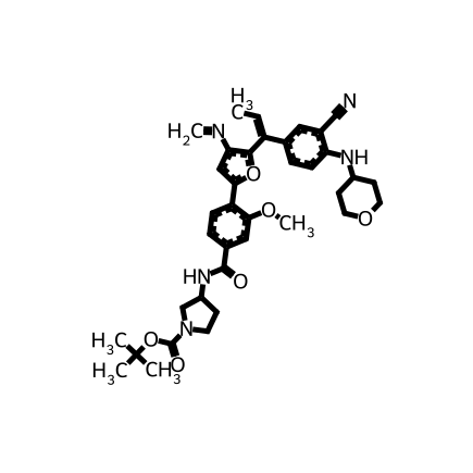 C=Nc1cc(-c2ccc(C(=O)NC3CCN(C(=O)OC(C)(C)C)C3)cc2OC)oc1/C(=C\C)c1ccc(NC2CCOCC2)c(C#N)c1